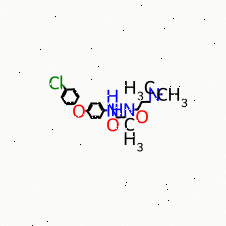 CC(NC(=O)CCN(C)C)C(=O)Nc1ccc(Oc2ccc(Cl)cc2)cc1